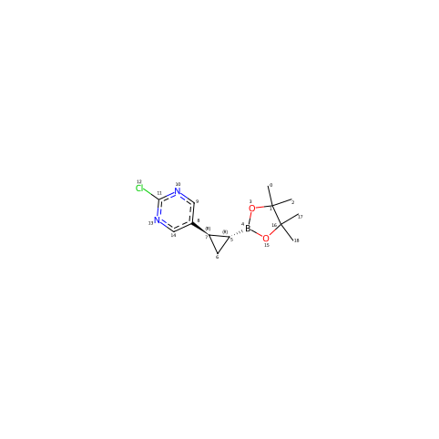 CC1(C)OB([C@@H]2C[C@H]2c2cnc(Cl)nc2)OC1(C)C